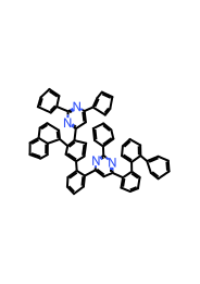 c1ccc(-c2cc(-c3ccc(-c4ccccc4-c4cc(-c5ccccc5-c5ccccc5-c5ccccc5)nc(-c5ccccc5)n4)cc3-c3cccc4ccccc34)nc(-c3ccccc3)n2)cc1